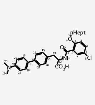 CCCCCCCOc1ccc(Cl)cc1C(=O)NC(Cc1ccc(-c2ccc(N(C)C)cc2)cc1)C(=O)O